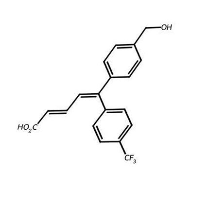 O=C(O)C=CC=C(c1ccc(CO)cc1)c1ccc(C(F)(F)F)cc1